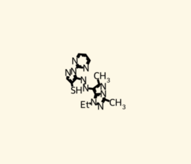 CCn1nc(C)n2nc(C)c(/N=N/c3c(S)cnn3-c3ncccn3)c12